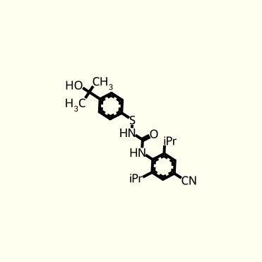 CC(C)c1cc(C#N)cc(C(C)C)c1NC(=O)NSc1ccc(C(C)(C)O)cc1